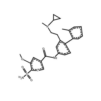 COc1cc(C(=O)Nc2ccc(-c3ccccc3C)c(CCN(C)C3CC3)c2)ccc1S(N)(=O)=O